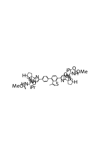 C=C(N[C@H](C(=O)N1C[C@@H]2CC[C@@]1(c1nc(-c3ccc(-c4ccc(-c5c[nH]c([C@@]67CC[C@@H](CN6C(=O)[C@@H](NC(=O)OC)C(C)C)C7)n5)c5scc(C)c45)cc3)c[nH]1)C2)C(C)C)OC